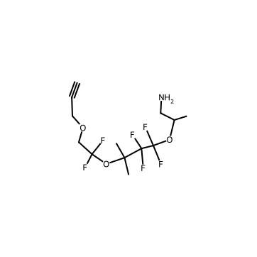 C#CCOCC(F)(F)OC(C)(C)C(F)(F)C(F)(F)OC(C)CN